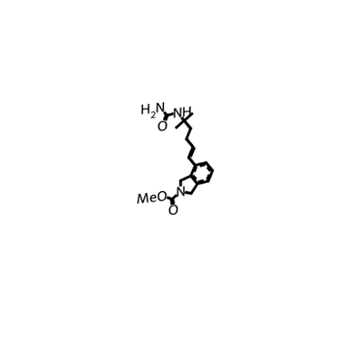 COC(=O)N1Cc2cccc(/C=C/CCC(C)(C)NC(N)=O)c2C1